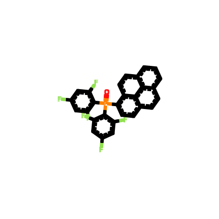 O=P(c1c(F)cc(F)cc1F)(c1c(F)cc(F)cc1F)c1ccc2ccc3cccc4ccc1c2c34